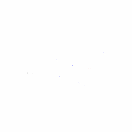 COc1cnc(N2CC3(CN4CCC3CC4)OC2N)nc1Cl